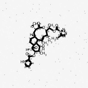 CO[C@H]1C[C@H]2C=CC3C4[C@H](O)[C@@H](C)[C@@H](OC(=O)c5ccc[nH]5)[C@@H]3O[C@]42/C(C)=C/[C@@H](C)[C@@H]([C@@H](C)OC(=O)n2nnnc2N)OC1=O